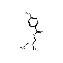 CC[C@H](C)COC(=O)c1ccc(C)cc1